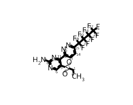 CCS(=O)(=O)c1cnc(N)nc1-c1ccc(C(F)(F)C(F)(F)C(F)(F)C(F)(F)F)nn1